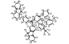 CC(C)(C)c1cccc(C2(c3cccc(C(C)(C)C)c3)c3ccccc3-c3ccc(N(c4ccc(-c5cccc6c5C(C)(C)c5ccccc5-6)cc4)c4ccc5c(c4)C(C)(C)c4ccccc4-5)cc32)c1